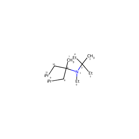 CCN(C(C)(CC)CC)C(C)(CC(C)C)CC(C)C